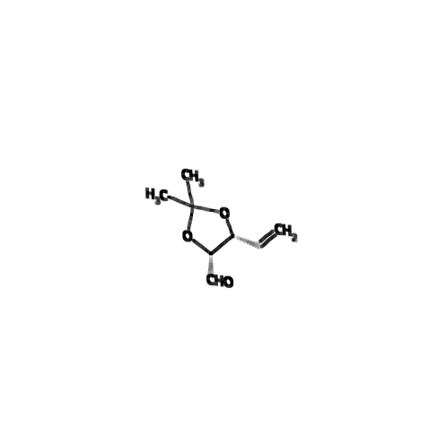 C=C[C@H]1OC(C)(C)O[C@H]1C=O